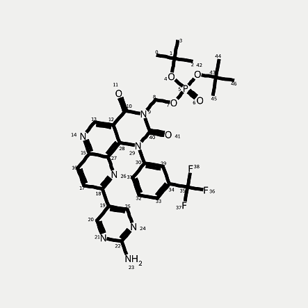 CC(C)(C)OP(=O)(OCn1c(=O)c2cnc3ccc(-c4cnc(N)nc4)nc3c2n(-c2cccc(C(F)(F)F)c2)c1=O)OC(C)(C)C